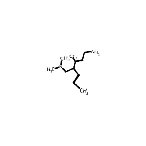 CCCC(CN(C)C)C(C)CCN